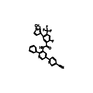 Cn1ccc(-c2cc(C(=O)Nc3cc(-c4ccc(C#N)cn4)cnc3-c3ccccc3)c(F)cc2C(F)(F)F)n1